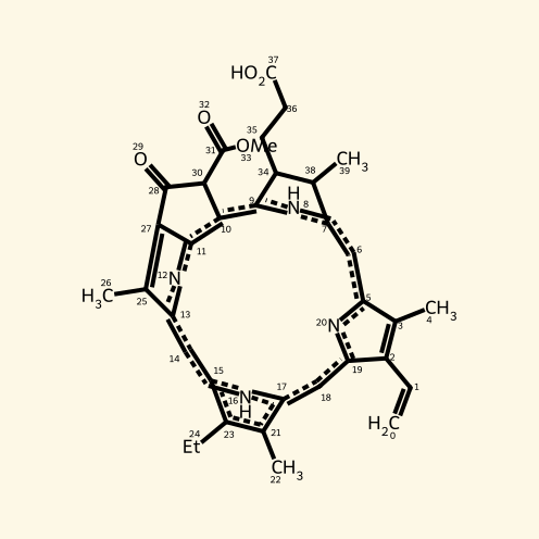 C=CC1=C(C)c2cc3[nH]c(c4c5nc(cc6[nH]c(cc1n2)c(C)c6CC)C(C)=C5C(=O)C4C(=O)OC)C(CCC(=O)O)C3C